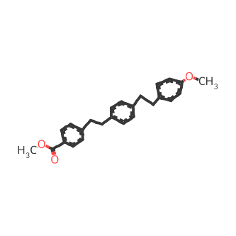 COC(=O)c1ccc(CCc2ccc(CCc3ccc(OC)cc3)cc2)cc1